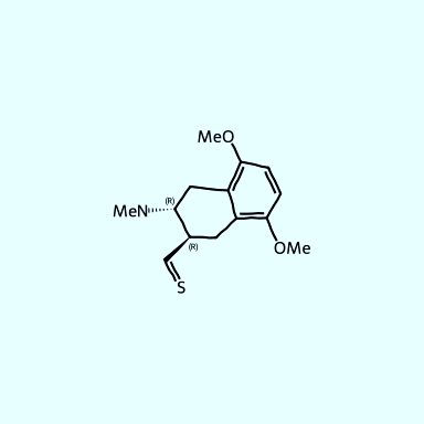 CN[C@@H]1Cc2c(OC)ccc(OC)c2C[C@H]1C=S